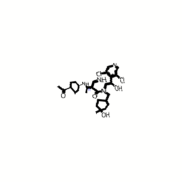 C/C(N[C@H]1CC[C@H](C(C)=O)CC1)=C(/C=N)C(=O)N(CC1CCC(C)(O)CC1)CC(O)c1c(Cl)cncc1Cl